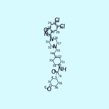 CO[C@H]1CC[C@H](CC(=O)N[C@H]2CC[C@H](CCN3CCN(c4noc5cc(Cl)c(Cl)cc45)CC3)CC2)CC1